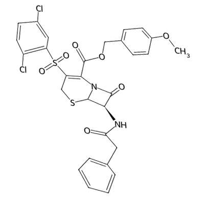 COc1ccc(COC(=O)C2=C(S(=O)(=O)c3cc(Cl)ccc3Cl)CSC3[C@H](NC(=O)Cc4ccccc4)C(=O)N23)cc1